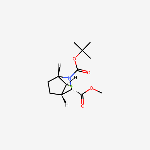 COC(=O)[C@@H]1[C@@H]2CC[C@@H]([C@H]2F)N1C(=O)OC(C)(C)C